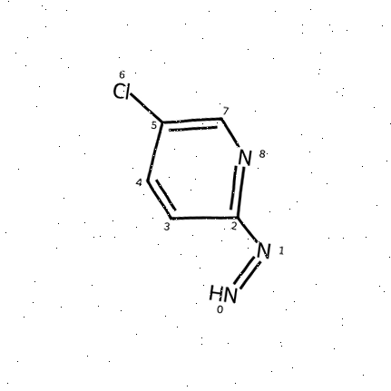 N=Nc1ccc(Cl)cn1